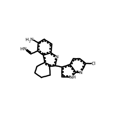 N=Cc1c(N)ccc2nc(-c3c[nH]c4nc(Cl)ccc34)c3c(c12)CCCC3